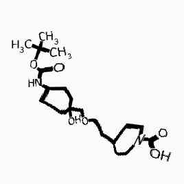 CC(C)(C)OC(=O)NC1CCC(O)(COCCC2CCN(C(=O)O)CC2)CC1